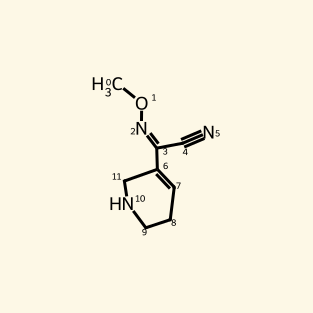 CON=C(C#N)C1=CCCNC1